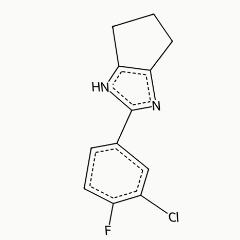 Fc1ccc(-c2nc3c([nH]2)CCC3)cc1Cl